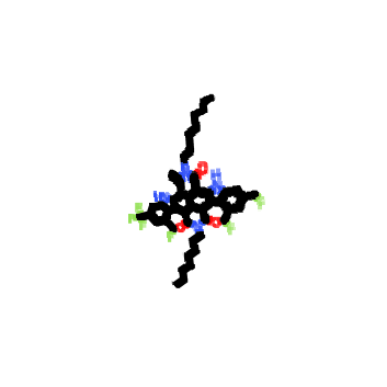 C=c1c2c3[nH]c4cc(C(F)(F)F)cc(CF)c4c3c3c4c(c5c([nH]c6cc(CF)cc(CF)c65)c(c(=O)n1CCCCCCCC)c42)C(=O)N(CCCCCCCC)C3=O